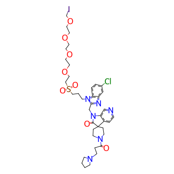 O=C(CCN1CCCC1)N1CCC2(CC1)C(=O)N(Cc1nc3cc(Cl)ccc3n1CCCS(=O)(=O)CCOCCOCCOCCOCI)c1cnccc12